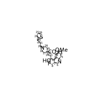 COc1ccc2ncc(CF)c(C(O)CCC3(C(=O)O)CCN(CCSc4cccs4)CC3)c2c1